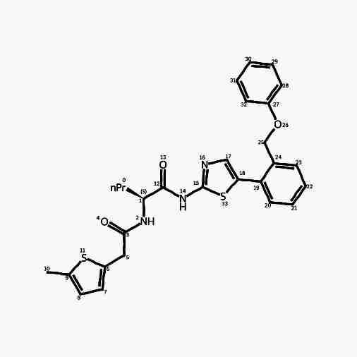 CCC[C@H](NC(=O)Cc1ccc(C)s1)C(=O)Nc1ncc(-c2ccccc2COc2ccccc2)s1